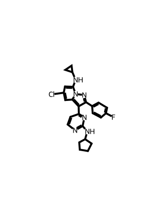 Fc1ccc(-c2nn3c(NC4CC4)cc(Cl)cc3c2-c2ccnc(NC3CCCC3)n2)cc1